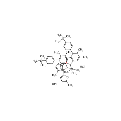 Cc1ccc(C2=Cc3c(cc(C)c(C)c3-c3ccc([Si](C)(C)C)cc3)[CH]2[Zr]([CH3])([CH3])(=[SiH2])[CH]2C(c3ccc(C)o3)=Cc3c2cc(C)c(C)c3-c2ccc([Si](C)(C)C)cc2)o1.Cl.Cl